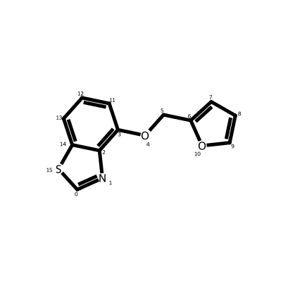 [c]1nc2c(OCc3ccco3)cccc2s1